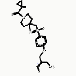 CC1(CS(=O)(=O)c2ccc(OC/C(=C/F)CN)cc2)CCN(C(=O)C2(C)CC2)CC1